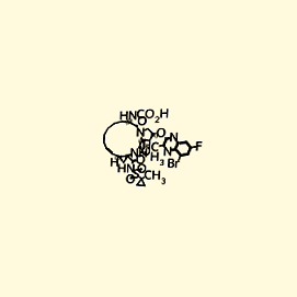 Cc1nc2c(Br)cc(F)cc2nc1O[C@@H]1C[C@H]2C(=O)N[C@]3(C(=O)NS(=O)(=O)C4(C)CC4)C[C@H]3C=CCCCCC[C@H](NC(=O)O)C(=O)N2C1